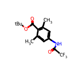 Cc1cc(NC(=O)C(F)(F)F)cc(C)c1C(=O)OC(C)(C)C